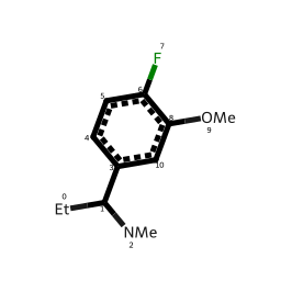 CCC(NC)c1ccc(F)c(OC)c1